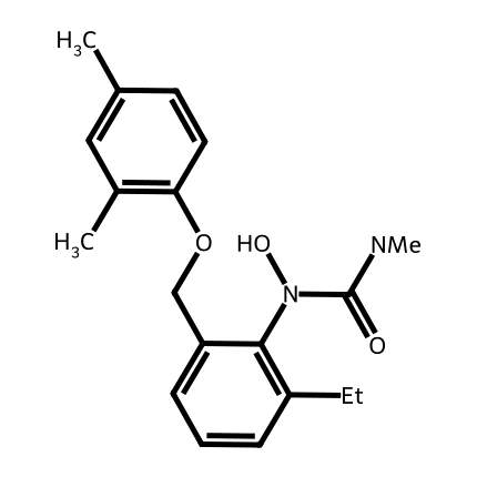 CCc1cccc(COc2ccc(C)cc2C)c1N(O)C(=O)NC